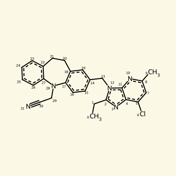 CCc1nc2c(Cl)cc(C)nc2n1Cc1ccc2c(c1)CCc1ccccc1N2CC#N